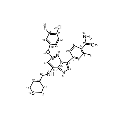 Cc1cc(-c2cnc3c(NCC4CCSCC4)cc(Oc4ccc(Cl)c(F)c4)nn23)ccc1C(N)=O